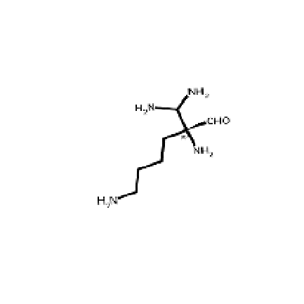 NCCCC[C@](N)(C=O)C(N)N